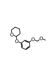 COCOc1cccc(OC2CCCCO2)c1